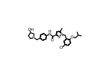 Cc1cc(C(=O)Nc2ccc(CN3CCC(O)C3)cc2)nn1Cc1cc(Cl)ccc1OCC(C)C